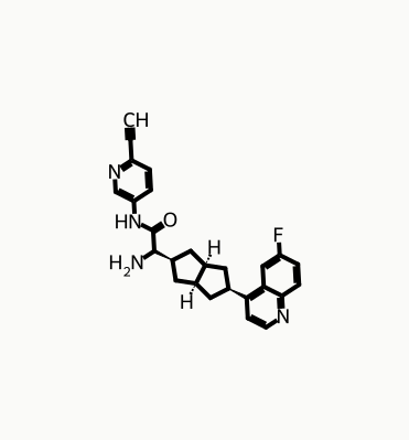 C#Cc1ccc(NC(=O)C(N)[C@H]2C[C@H]3C[C@@H](c4ccnc5ccc(F)cc45)C[C@H]3C2)cn1